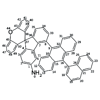 Nc1ccc2c(c1)-c1c(-c3c4ccccc4c(-c4cccc5ccccc45)c4ccccc34)cccc1C21c2ccccc2Oc2ccccc21